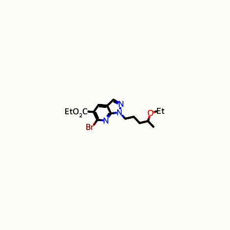 CCOC(=O)c1cc2cnn(CCCC(C)OCC)c2nc1Br